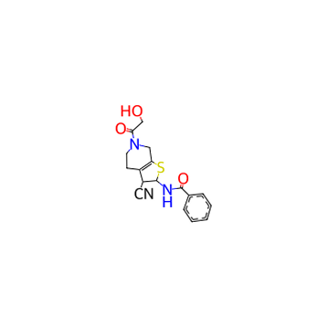 N#CC1C2=C(CN(C(=O)CO)CC2)SC1NC(=O)c1ccccc1